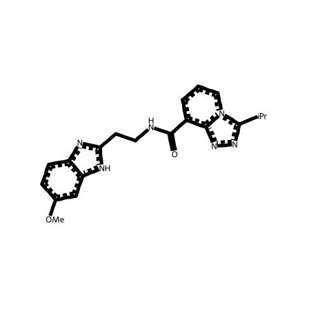 COc1ccc2nc(CCNC(=O)c3cccn4c(C(C)C)nnc34)[nH]c2c1